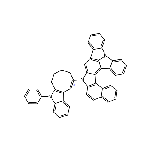 C1=C(/n2c3ccc4ccccc4c3c3c4c5ccccc5n5c6ccccc6c(cc32)c45)CCCCc2c/1c1ccccc1n2-c1ccccc1